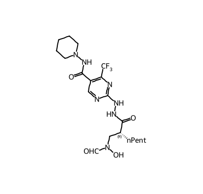 CCCCC[C@H](CN(O)C=O)C(=O)NNc1ncc(C(=O)NN2CCCCC2)c(C(F)(F)F)n1